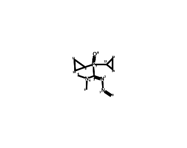 C=N/N=C(\N(C)C)P(=O)(C1CC1)C1CC1